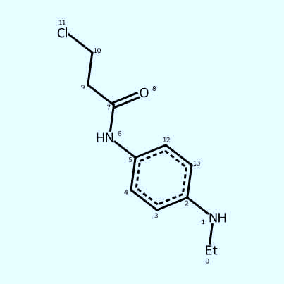 CCNc1ccc(NC(=O)CCCl)cc1